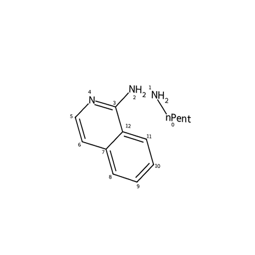 CCCCCN.Nc1nccc2ccccc12